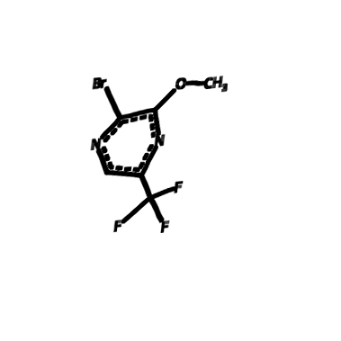 COc1nc(C(F)(F)F)cnc1Br